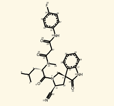 CC(C)C[C@@H](C(=O)N1C[C@]2(C[C@H]1C#N)C(=O)Nc1ccccc12)N(C)C(=O)CC(=O)Nc1ccc(F)cc1